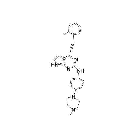 Cc1ccccc1C#Cc1nc(Nc2ccc(N3CCN(C)CC3)cc2)nc2[nH]ccc12